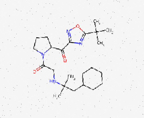 CC(C)(CC1CCCCC1)NCC(=O)N1CCCC1C(=O)c1noc(C(C)(C)C)n1